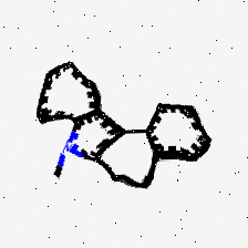 Cn1c2c(c3ccccc31)-c1ccccc1CC2